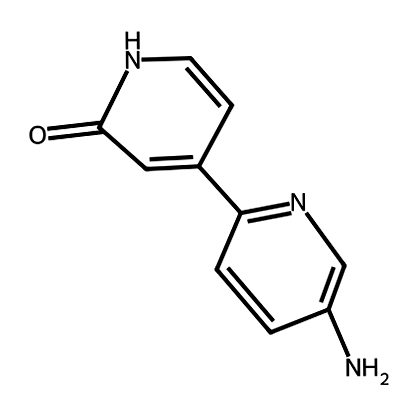 Nc1ccc(-c2cc[nH]c(=O)c2)nc1